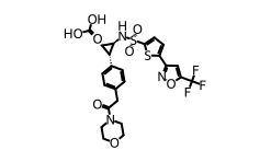 O=C(Cc1ccc([C@@H]2C[C@H]2NS(=O)(=O)c2ccc(-c3cc(C(F)(F)F)on3)s2)cc1)N1CCOCC1.O=C(O)O